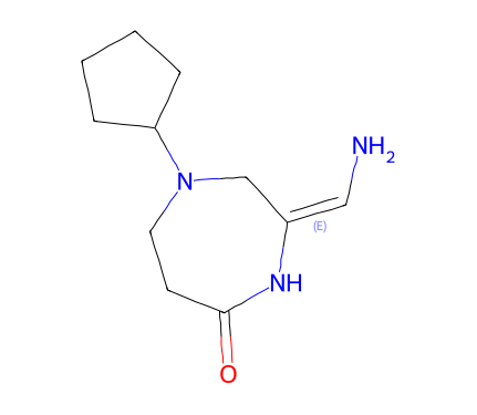 N/C=C1\CN(C2CCCC2)CCC(=O)N1